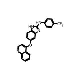 FC(F)(F)c1ccc(Nc2nc3cc(Oc4ccnc5ccccc45)ccc3[nH]2)cc1